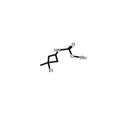 CCC1(C)CC(NC(=O)OC(C)(C)C)C1